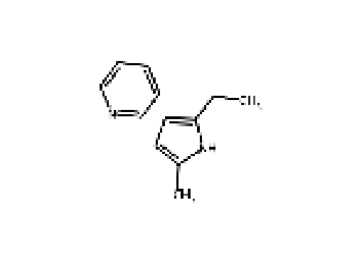 CCc1ccc(C)[nH]1.c1ccncc1